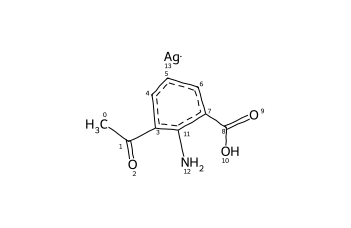 CC(=O)c1cccc(C(=O)O)c1N.[Ag]